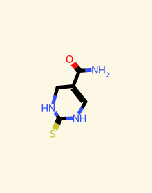 NC(=O)C1=CNC(=S)NC1